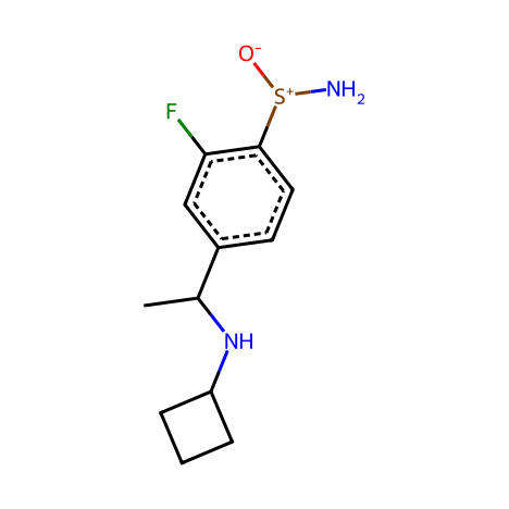 CC(NC1CCC1)c1ccc([S+](N)[O-])c(F)c1